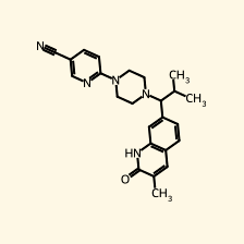 Cc1cc2ccc(C(C(C)C)N3CCN(c4ccc(C#N)cn4)CC3)cc2[nH]c1=O